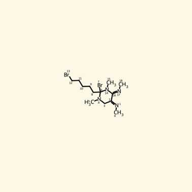 CN=C1CN(C)C(Br)(CCCCCBr)N(C)C1=NC